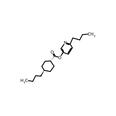 CCCCc1ccc(OC(=O)[C@H]2CC[C@H](CCCC)CC2)cn1